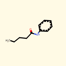 CCCCC(=O)Nc1[c]cc[c]c1